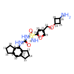 N=S(=O)(NC(=O)Nc1c2c(cc3c1CCC3)CCC2)c1cc(COC2CC(N)C2)co1